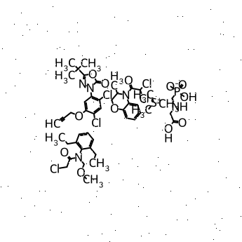 C#CCOc1cc(-n2nc(C(C)(C)C)oc2=O)c(Cl)cc1Cl.CC1COc2ccccc2N1C(=O)C(Cl)Cl.CCc1cccc(CC)c1N(COC)C(=O)CCl.C[S+](C)C.O=C(O)CNCP(=O)([O-])O